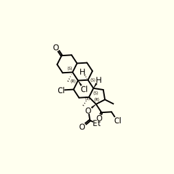 CCC(=O)O[C@]1(C(=O)CCl)C(C)C[C@H]2[C@@H]3CCC4CC(=O)CC[C@]4(C)[C@@]3(Cl)C(Cl)C[C@@]21C